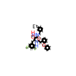 CCc1cccc(CNC[C@@H](O)[C@H](Cc2cc(F)cc(F)c2)NC(=O)Cc2ccccc2Oc2ccccc2)c1